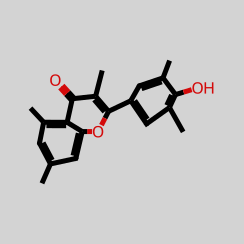 Cc1cc(C)c2c(=O)c(C)c(-c3cc(C)c(O)c(C)c3)oc2c1